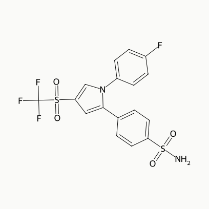 NS(=O)(=O)c1ccc(-c2cc(S(=O)(=O)C(F)(F)F)cn2-c2ccc(F)cc2)cc1